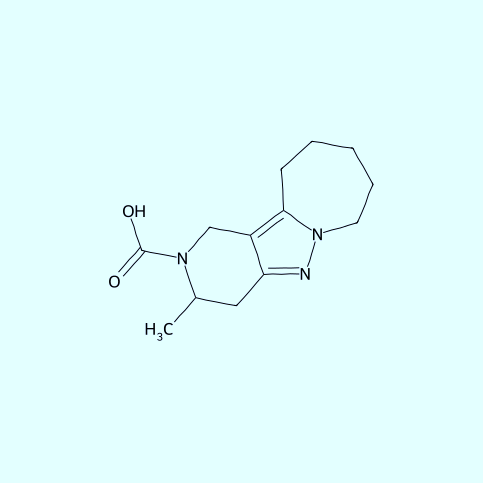 CC1Cc2nn3c(c2CN1C(=O)O)CCCCC3